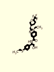 CCSc1ccc(C(CO)NC(=O)c2ccc3c(c2)nc(C[C@@H]2CCC(C(F)(F)F)OC2)n3CC)cc1